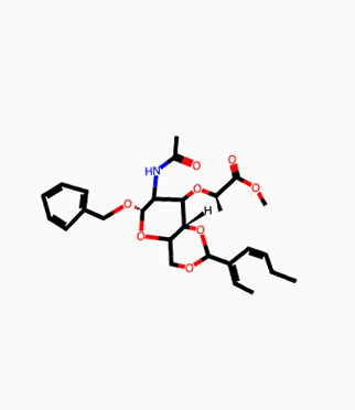 C/C=C(\C=C/CC)C1OCC2O[C@H](OCc3ccccc3)C(NC(C)=O)C(O[C@H](C)C(=O)OC)[C@@H]2O1